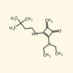 C=C1C(=O)C(N(CC)CC)=C1NCCC(C)(C)C